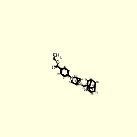 CCOC(=O)c1ccc(N2CC3CC2CN3CC23CC4CC(CC(C4)C2)C3)cc1